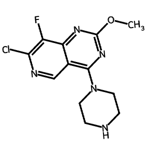 COc1nc(N2CCNCC2)c2cnc(Cl)c(F)c2n1